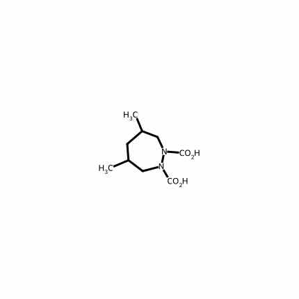 CC1CC(C)CN(C(=O)O)N(C(=O)O)C1